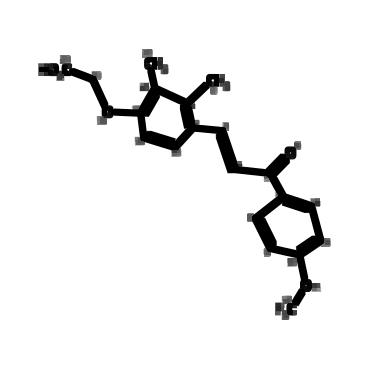 Cc1c(C=CC(=O)c2ccc(OC(F)(F)F)cc2)ccc(OCC(=O)O)c1C